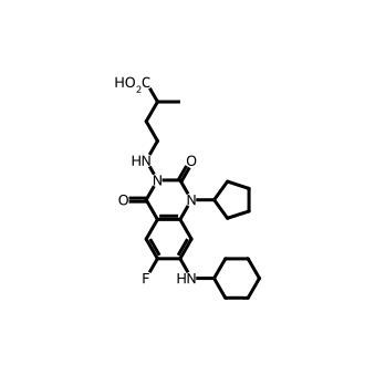 CC(CCNn1c(=O)c2cc(F)c(NC3CCCCC3)cc2n(C2CCCC2)c1=O)C(=O)O